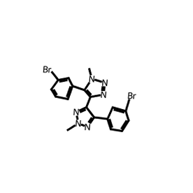 Cn1nc(-c2cccc(Br)c2)c(-c2nnn(C)c2-c2cccc(Br)c2)n1